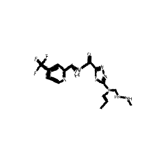 CCCN(CNNC)c1nnc(C(=O)NCc2cc(C(F)(F)F)ccn2)s1